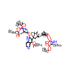 C=C(CCC[C@@H]1C[C@H]1OC(=O)N[C@H](C(=O)OC(C)(C)C)C(C)(C)C)c1c(O[C@@H]2C[C@@H](C(=O)OC)N(C(=O)OC(C)(C)C)C2)nc2ccncc2c1OCCCC